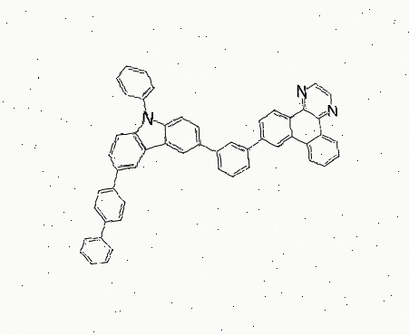 c1ccc(-c2ccc(-c3ccc4c(c3)c3cc(-c5cccc(-c6ccc7c(c6)c6ccccc6c6nccnc76)c5)ccc3n4-c3ccccc3)cc2)cc1